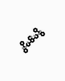 c1ccc(-c2nc3ccccc3n2-c2ccc(-c3ccc(-c4ccc(-n5c(-c6ccccc6)nc6ccccc65)cn4)c4ncccc34)nc2)cc1